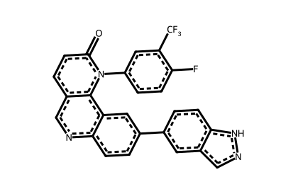 O=c1ccc2cnc3ccc(-c4ccc5[nH]ncc5c4)cc3c2n1-c1ccc(F)c(C(F)(F)F)c1